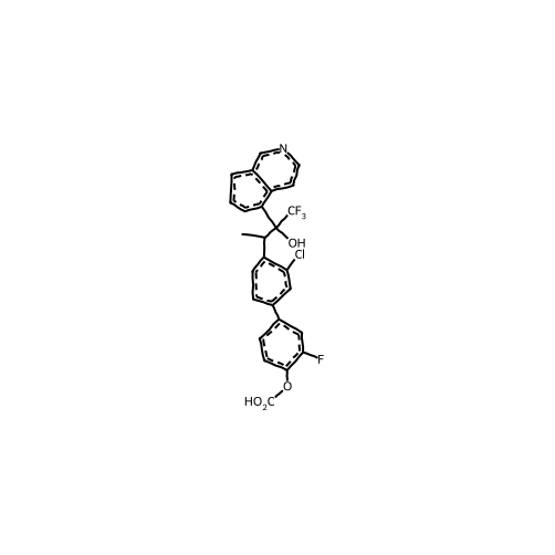 CC(c1ccc(-c2ccc(OC(=O)O)c(F)c2)cc1Cl)C(O)(c1cccc2cnccc12)C(F)(F)F